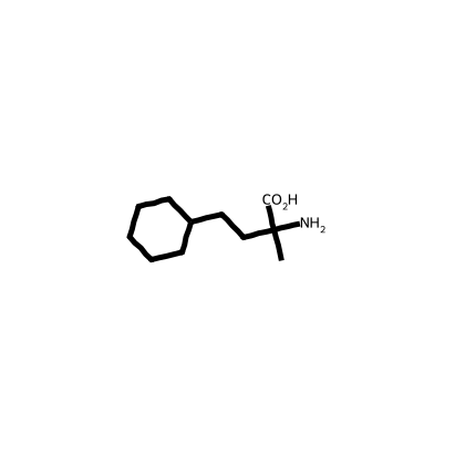 CC(N)(CCC1CCCCC1)C(=O)O